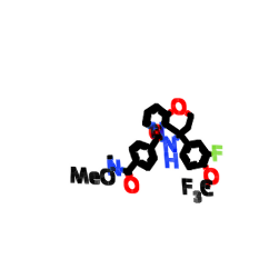 CON(C)C(=O)c1ccc(C(=O)NC2(c3ccc(OC(F)(F)F)c(F)c3)CCOc3cccnc32)cc1